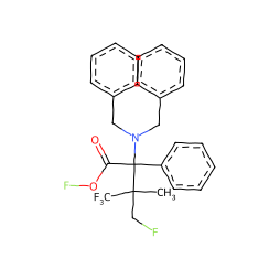 CC(CF)(C(F)(F)F)C(C(=O)OF)(c1ccccc1)N(Cc1ccccc1)Cc1ccccc1